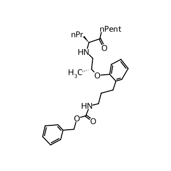 CCCCCC(=O)[C@H](CCC)NC[C@@H](C)Oc1ccccc1CCCNC(=O)OCc1ccccc1